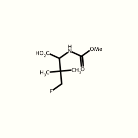 COC(=O)NC(C(=O)O)C(C)(C)CF